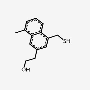 Cc1cccc2c(CS)cc(CCO)cc12